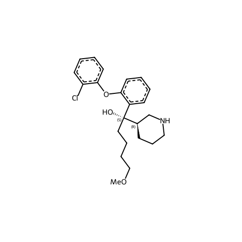 COCCCC[C@@](O)(c1ccccc1Oc1ccccc1Cl)[C@@H]1CCCNC1